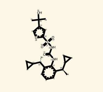 C[C@H](c1cccc([C@H](C)C2CC2)c1NC(=O)NS(=O)(=O)c1cc(C(C)(C)O)co1)C1CC1